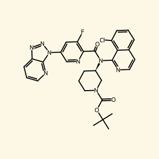 CC(C)(C)OC(=O)N1CCC[C@@H](N(C(=O)c2ncc(-n3nnc4cccnc43)cc2F)c2nccc3cccc(Cl)c23)C1